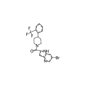 O=C(c1cc2ncc(Br)cc2[nH]1)N1CCC(c2ccccc2C(F)(F)F)CC1